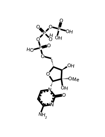 CO[C@@]1(O)[C@H](O)[C@@H](COP(=O)(O)OP(=O)(O)OP(=O)(O)O)O[C@H]1n1ccc(N)nc1=O